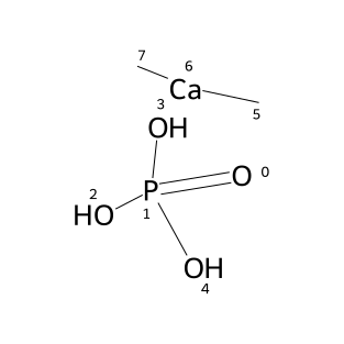 O=P(O)(O)O.[CH3][Ca][CH3]